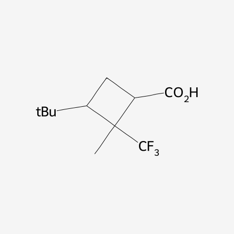 CC(C)(C)C1CC(C(=O)O)C1(C)C(F)(F)F